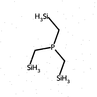 [SiH3]CP(C[SiH3])C[SiH3]